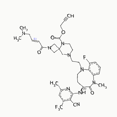 C#CCOC(=O)N1CCN(CCN2CC[C@H](Nc3nc(C)cc(C(F)(F)F)c3C#N)C(=O)N(C)c3cccc(F)c32)CC12CN(C(=O)/C=C/CN(C)C)C2